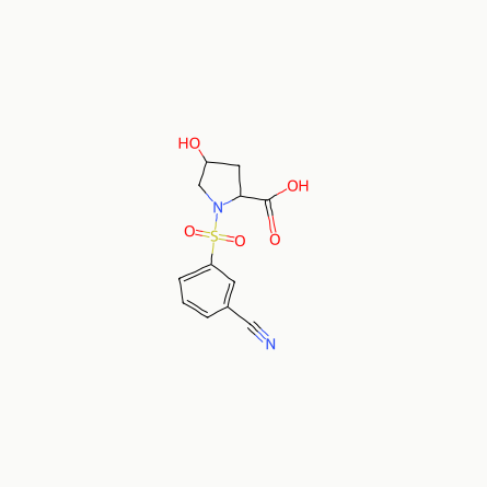 N#Cc1cccc(S(=O)(=O)N2CC(O)CC2C(=O)O)c1